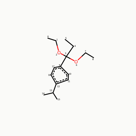 CCOC(CC)(OCC)c1ccc(C(C)C)cc1